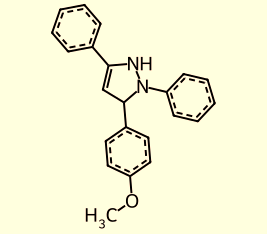 COc1ccc(C2C=C(c3ccccc3)NN2c2ccccc2)cc1